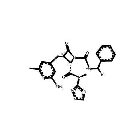 CCC(NC(=O)N1C(=O)[C@H](Cc2cc(C)nc(N)c2)[C@H]1C(=O)N(C)c1nnco1)c1ccccc1